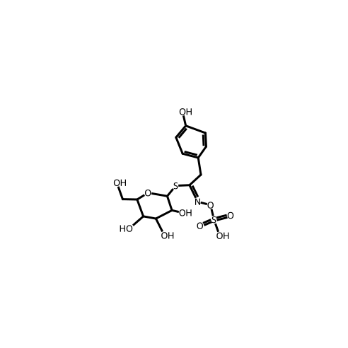 O=S(=O)(O)O/N=C(\Cc1ccc(O)cc1)SC1OC(CO)C(O)C(O)C1O